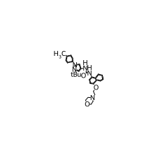 Cc1ccc(-n2cc(NC(=O)Nc3ccc(OCCN4CCOCC4)c4ccccc34)c(C(C)(C)C)n2)cc1